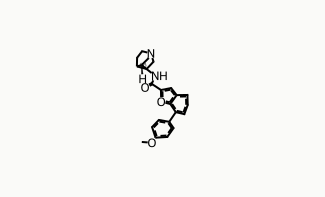 COc1ccc(-c2cccc3cc(C(=O)N[C@H]4CN5CCC4CC5)oc23)cc1